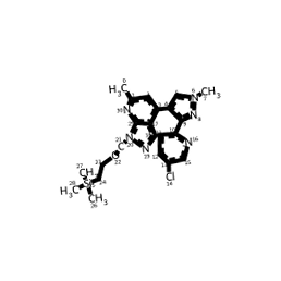 Cc1cc(-c2cn(C)nc2-c2ccc(Cl)cn2)c2cnn(COCC[Si](C)(C)C)c2n1